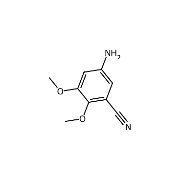 COc1cc(N)cc(C#N)c1OC